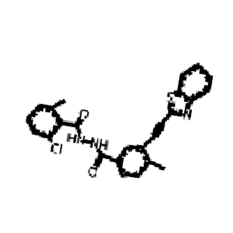 Cc1ccc(C(=O)NNC(=O)c2c(C)cccc2Cl)cc1C#Cc1nc2ccccc2s1